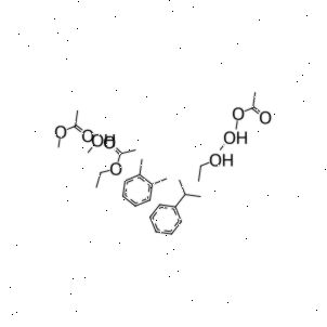 CC(C)c1ccccc1.CCO.CCOC(C)=O.CO.CO.COC(C)=O.COC(C)=O.Cc1ccccc1C